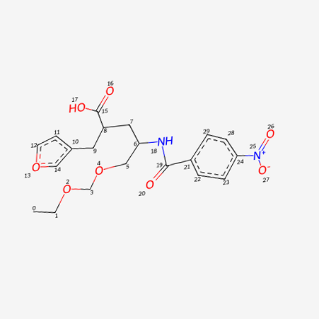 CCOCOCC(CC(Cc1ccoc1)C(=O)O)NC(=O)c1ccc([N+](=O)[O-])cc1